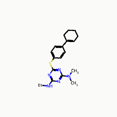 CCNc1nc(Sc2ccc(C3=CCCCC3)cc2)nc(N(C)C)n1